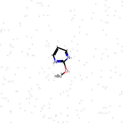 CCCCOc1ncccn1